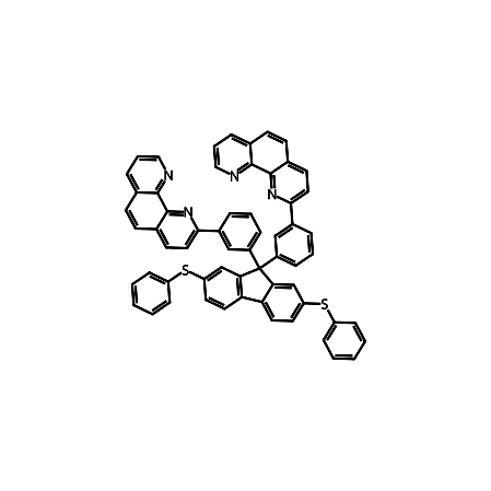 c1ccc(Sc2ccc3c(c2)C(c2cccc(-c4ccc5ccc6cccnc6c5n4)c2)(c2cccc(-c4ccc5ccc6cccnc6c5n4)c2)c2cc(Sc4ccccc4)ccc2-3)cc1